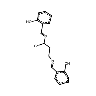 Oc1ccccc1C=NCC[CH]([Co])N=Cc1ccccc1O